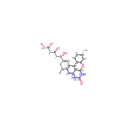 COC(=O)CC(=O)CC(O)/C=C/c1c(C(C)C)nc2[nH]c(=O)[nH]c(=O)c2c1-c1ccc(F)cc1